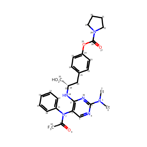 CCN(CC)c1ncc(N(C(=O)C(F)(F)F)c2ccccc2)c(N[C@@H](Cc2ccc(OC(=O)N3CCCC3)cc2)C(=O)O)n1